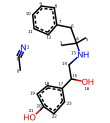 CC#N.CC(C)(Cc1ccccc1)NCC(O)c1ccc(O)cc1